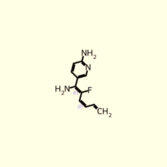 C=C/C=C\C(F)=C(/N)c1ccc(N)nc1